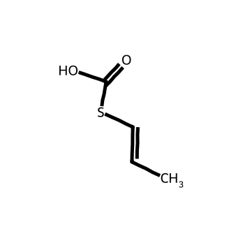 CC=CSC(=O)O